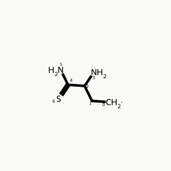 [CH2]CC(N)C(N)=S